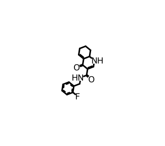 O=C(NCc1ccccc1F)C1=CNC2CCCC=C2C1=O